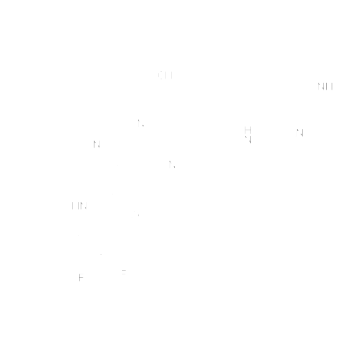 Cc1cc(-c2ccc/c(=N/C=N)[nH]2)nc2c(C(=O)NC(C3CC3)C(F)(F)F)ncn12